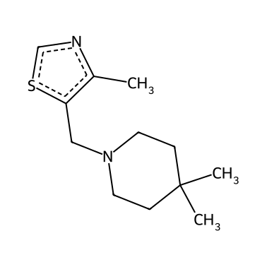 Cc1ncsc1CN1CCC(C)(C)CC1